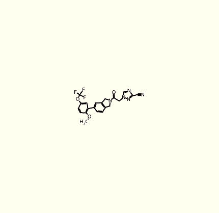 COc1ccc(OC(F)(F)F)cc1-c1ccc2c(c1)CN(C(=O)Cn1cnc(C#N)n1)C2